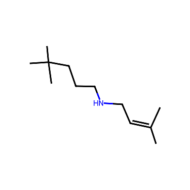 CC(C)=CCNCCCC(C)(C)C